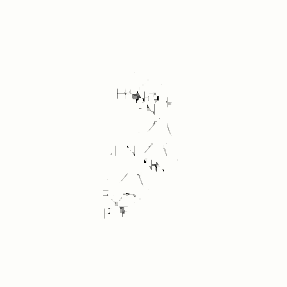 Cc1c(C(C)Nc2nnc(C)c3ccc(N4C[C@H]5CC[C@@H]4CN5C)cc23)cccc1C(F)(F)F